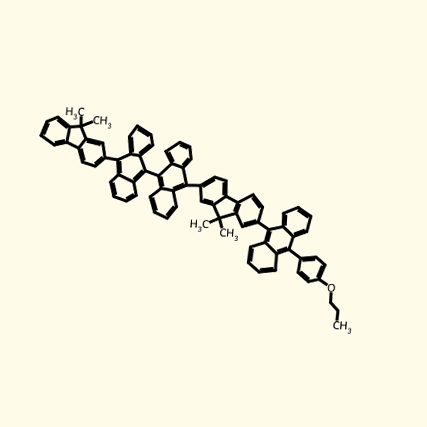 CCCOc1ccc(-c2c3ccccc3c(-c3ccc4c(c3)C(C)(C)c3cc(-c5c6ccccc6c(-c6c7ccccc7c(-c7ccc8c(c7)C(C)(C)c7ccccc7-8)c7ccccc67)c6ccccc56)ccc3-4)c3ccccc23)cc1